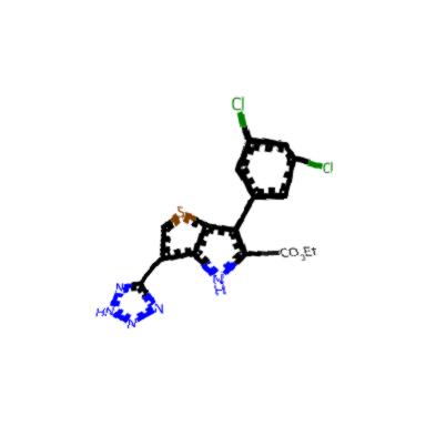 CCOC(=O)c1[nH]c2c(-c3nn[nH]n3)csc2c1-c1cc(Cl)cc(Cl)c1